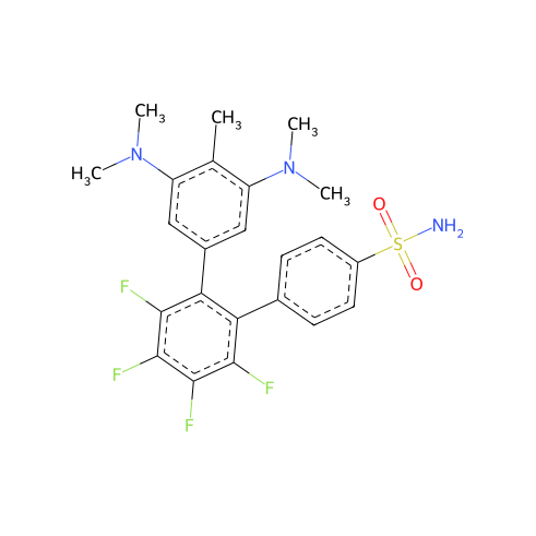 Cc1c(N(C)C)cc(-c2c(F)c(F)c(F)c(F)c2-c2ccc(S(N)(=O)=O)cc2)cc1N(C)C